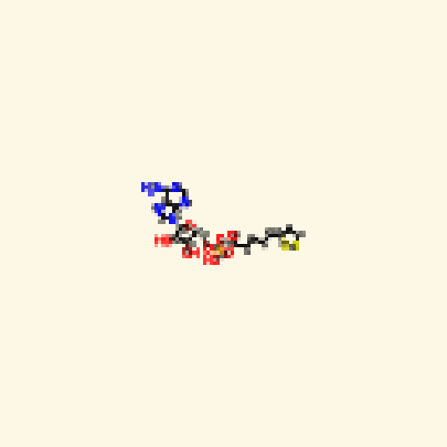 Nc1ncnc2c1ncn2[C@@H]1O[C@H](COP(=O)(O)OC(=O)CCCCC2CCSS2)[C@@H](O)[C@H]1O